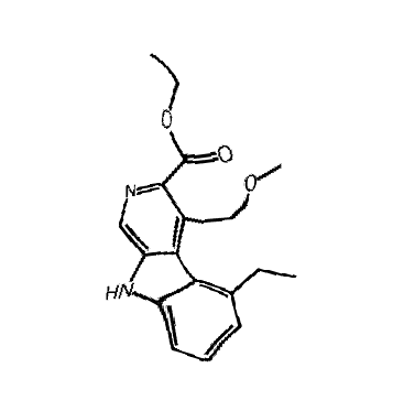 CCOC(=O)c1ncc2[nH]c3cccc(CC)c3c2c1COC